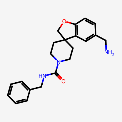 NCc1ccc2c(c1)C1(CCN(C(=O)NCc3ccccc3)CC1)CO2